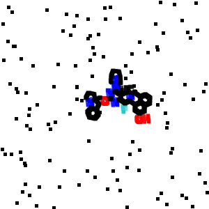 C#Cc1cccc2cc(O)cc(-c3ncc4c(N5CC6CCC(C5)N6)nc(OCC56CCCN5c5ccccc5C6)nc4c3F)c12